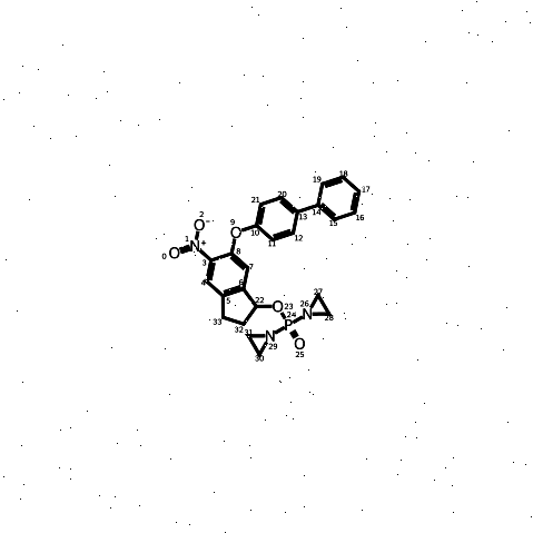 O=[N+]([O-])c1cc2c(cc1Oc1ccc(-c3ccccc3)cc1)C(OP(=O)(N1CC1)N1CC1)CC2